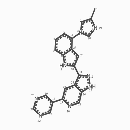 Cc1cn(-c2cccc3[nH]c(-c4n[nH]c5cnc(-c6cncnc6)cc45)cc23)cn1